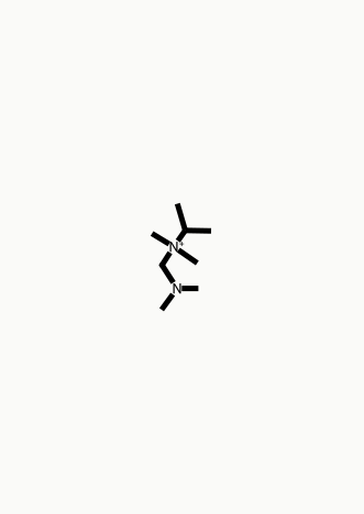 CC(C)[N+](C)(C)CN(C)C